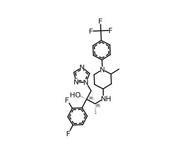 CC1CC(N[C@H](C)[C@](O)(Cn2cncn2)c2ccc(F)cc2F)CCN1c1ccc(C(F)(F)F)cc1